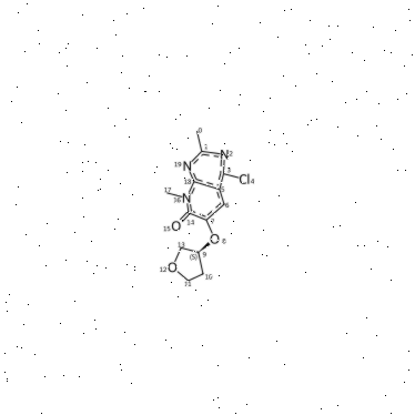 Cc1nc(Cl)c2cc(O[C@H]3CCOC3)c(=O)n(C)c2n1